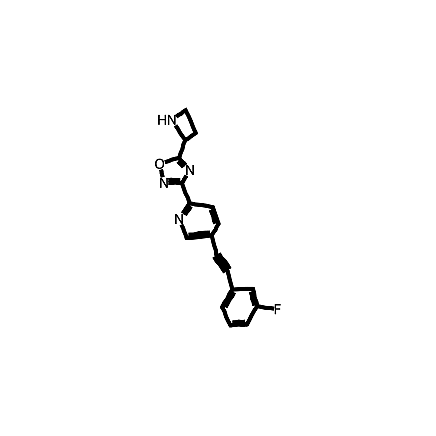 Fc1cccc(C#Cc2ccc(-c3noc(C4CCN4)n3)nc2)c1